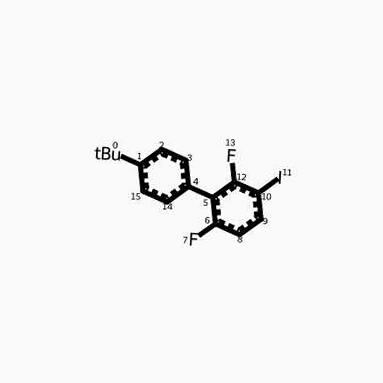 CC(C)(C)c1ccc(-c2c(F)ccc(I)c2F)cc1